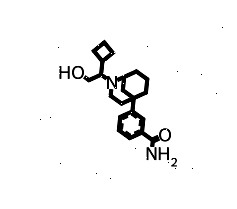 NC(=O)c1cccc(C23CCCC(C2)N(C(CO)C2CCC2)CC3)c1